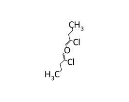 CCCC(Cl)=COC=C(Cl)CCC